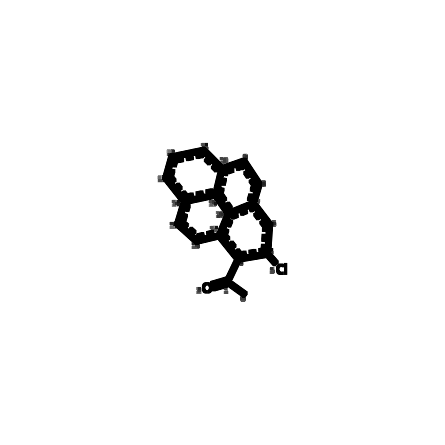 CC(=O)c1c(Cl)cc2ccc3cccc4ccc1c2c34